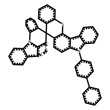 c1ccc(-c2ccc(-n3c4ccccc4c4c5c(ccc43)C3(c4ccccc4S5)c4ccccc4-n4c5ccccc5c5cccc3c54)cc2)cc1